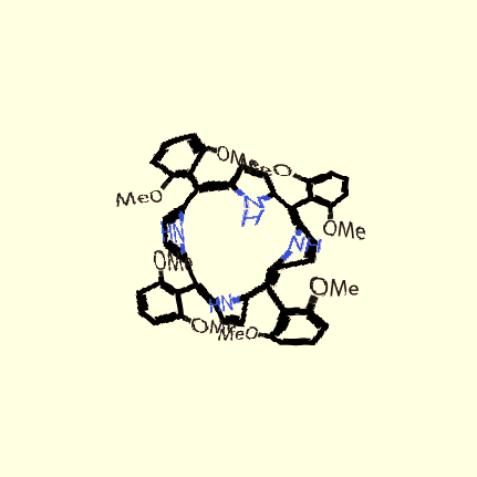 COc1cccc(OC)c1/C1=C2\C=CC(N2)/C(c2c(OC)cccc2OC)=c2/cc/c([nH]2)=C(\c2c(OC)cccc2OC)C2C=C/C(=C(\c3c(OC)cccc3OC)c3ccc1[nH]3)N2